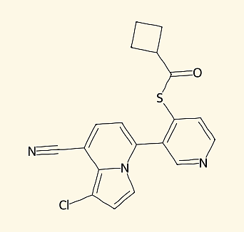 N#Cc1ccc(-c2cnccc2SC(=O)C2CCC2)n2ccc(Cl)c12